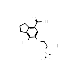 Cc1c(OC[C@H](C)NS(=O)(=O)C(F)(F)F)cc(C(N)=O)c2c1CCC2